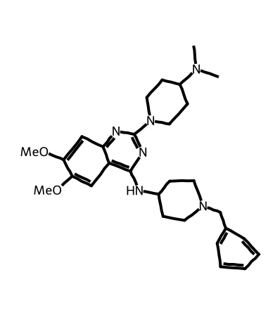 COc1cc2nc(N3CCC(N(C)C)CC3)nc(NC3CCN(Cc4ccccc4)CC3)c2cc1OC